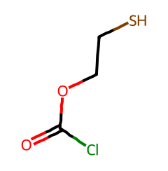 O=C(Cl)OCCS